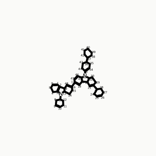 C1=CC2=C(CC1)N(C1CC=CCC1)C1CCC(C3=CC4C5C=C(C6CC=CCC6)CCC5N(C5=CCC(C6CCCCC6)CC5)C4C=C3)=CC21